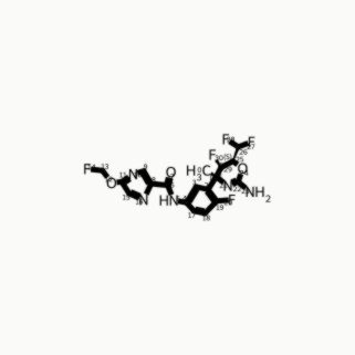 C[C@]1(c2cc(NC(=O)c3cnc(OCF)cn3)ccc2F)N=C(N)O[C@H](C(F)F)[C@@H]1F